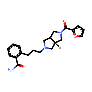 NC(=O)c1ccccc1[CH]CCN1CC2CN(C(=O)c3ccco3)C[C@@H]2C1